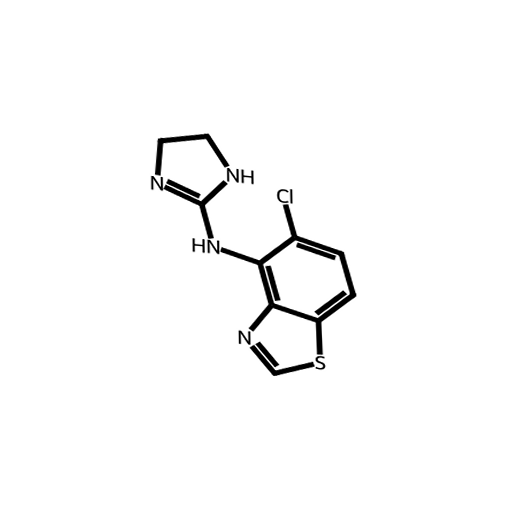 Clc1ccc2scnc2c1NC1=NCCN1